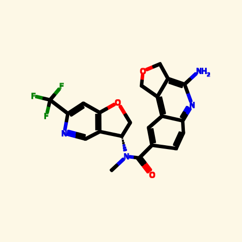 CN(C(=O)c1ccc2nc(N)c3c(c2c1)COC3)[C@H]1COc2cc(C(F)(F)F)ncc21